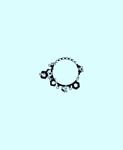 CC(C)C[C@H]1NC(=O)c2ccccc2OCc2noc(n2)CCCCCCCNC(=O)[C@H](Cc2cccnc2)N(C)C(=O)[C@H]2CCCN2C1=O